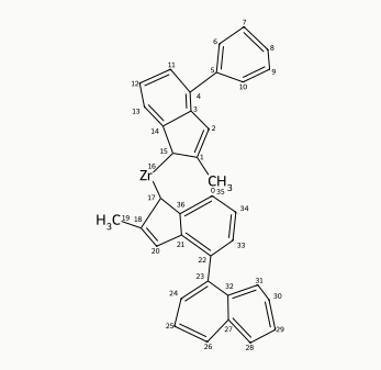 CC1=Cc2c(-c3ccccc3)cccc2[CH]1[Zr][CH]1C(C)=Cc2c(-c3cccc4ccccc34)cccc21